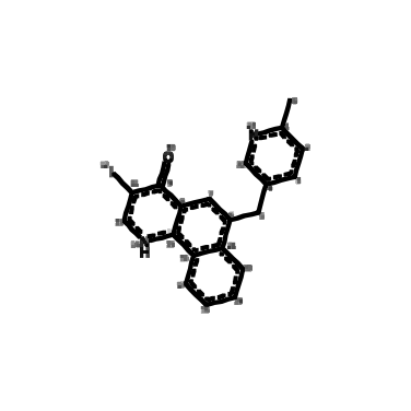 Cc1ccc(Cc2cc3c(=O)c(I)c[nH]c3c3ccccc23)cn1